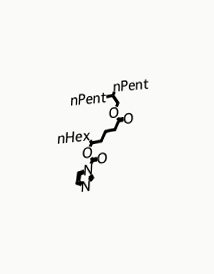 CCCCCCC(CCCC(=O)OCC(CCCCC)CCCCC)OC(=O)n1ccnc1